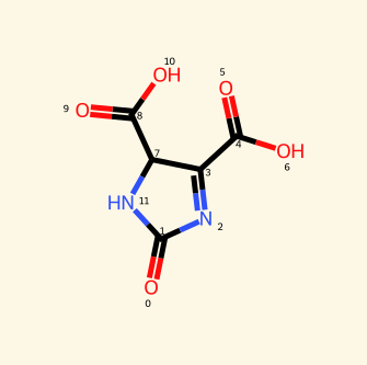 O=C1N=C(C(=O)O)C(C(=O)O)N1